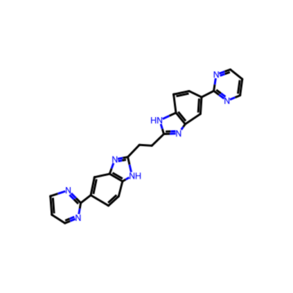 c1cnc(-c2ccc3[nH]c(CCc4nc5cc(-c6ncccn6)ccc5[nH]4)nc3c2)nc1